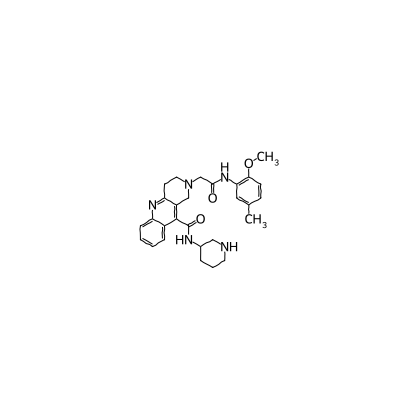 COc1ccc(C)cc1NC(=O)CN1CCc2nc3ccccc3c(C(=O)NC3CCCNC3)c2C1